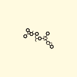 CCC(Cc1ccccc1-c1ccc2c(c1C)c1ccccc1n2-c1ccccc1)c1ccc(-c2nc(C3=CCC4C(=C3)Sc3ccccc34)nc(-c3ccccc3)n2)cc1